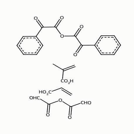 C=C(C)C(=O)O.C=CC(=O)O.O=C(OC(=O)C(=O)c1ccccc1)C(=O)c1ccccc1.O=CC(=O)OC(=O)C=O